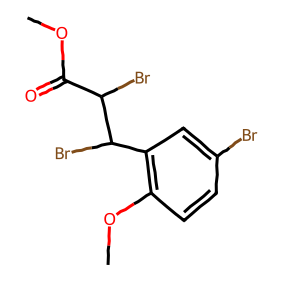 COC(=O)C(Br)C(Br)c1cc(Br)ccc1OC